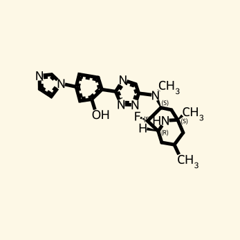 CC1C[C@H]2N[C@@](C)(C1)C[C@H](N(C)c1cnc(-c3ccc(-n4ccnc4)cc3O)nn1)[C@H]2F